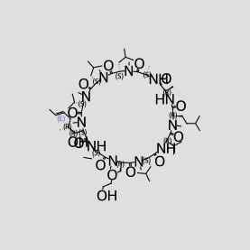 C/C=C/C[C@@H](C)[C@@H](O)[C@H]1C(=O)N[C@@H](CC)C(=O)N(C)[C@H](COCCO)C(=O)N(C)[C@@H](CC(C)C)C(=O)N[C@H](C(C)C)C(=O)N(C)[C@H](CCC(C)C)C(=O)N[C@H](C)C(=O)N[C@@H](C)C(=O)N(C)[C@@H](CC(C)C)C(=O)N(C)[C@@H](CC(C)C)C(=O)N(C)[C@@H](C(C)C)C(=O)N1C